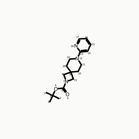 CC(C)(C)OC(=O)N1CC2(CCN(c3ccccn3)CC2)C1